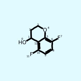 OC1CCOc2c(F)ccc(F)c21